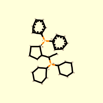 CC(C1CCC[C@H]1P(c1ccccc1)c1ccccc1)P(C1CCCCC1)C1CCCCC1